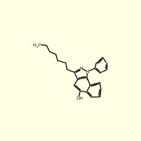 CCCCCCCc1nn(-c2ccccc2)c2c1cc(O)c1ccccc12